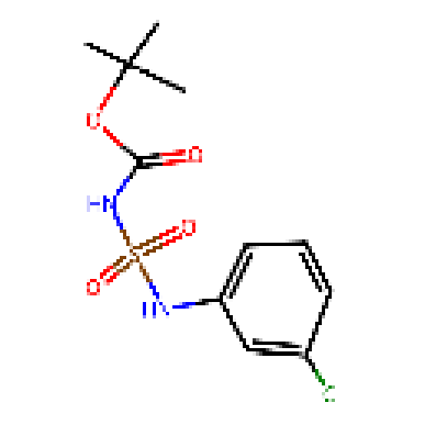 CC(C)(C)OC(=O)NS(=O)(=O)Nc1cccc(Cl)c1